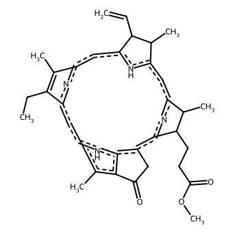 C=CC1c2cc3nc(cc4[nH]c5c(c6nc(cc([nH]2)C1C)C(C)C6CCC(=O)OC)CC(=O)c5c4C)C(CC)=C3C